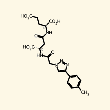 Cc1ccc(-c2cn(CC(=O)N[C@@H](CC(=O)N[C@@H](CCC(=O)O)C(=O)O)C(=O)O)nn2)cc1